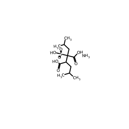 CC(C)CC(C(=O)O)C(CC(C)C)(C(=O)O)S(=O)(=O)O.N